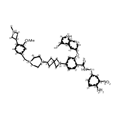 COc1cc(CN2CCN(C3CC4(C3)CN(c3ccc(C(=O)NSc5ccc(N)c([N+](=O)[O-])c5)c(Oc5cnc6[nH]cc(F)c6c5)c3)C4)CC2)ccc1C1CN(C)C1